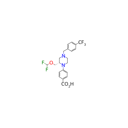 O=C(O)c1ccc(N2CCN(Cc3ccc(C(F)(F)F)cc3)C[C@H]2COC(F)F)cc1